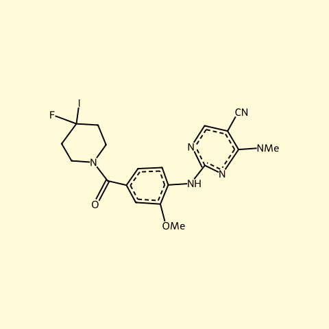 CNc1nc(Nc2ccc(C(=O)N3CCC(F)(I)CC3)cc2OC)ncc1C#N